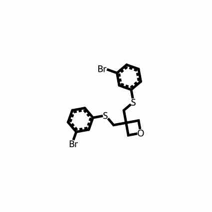 Brc1cccc(SCC2(CSc3cccc(Br)c3)COC2)c1